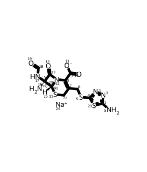 Nc1nnc(SCC2=C(C(=O)[O-])N3C(=O)[C@](N)(NC=O)[C@H]3SC2)s1.[Na+]